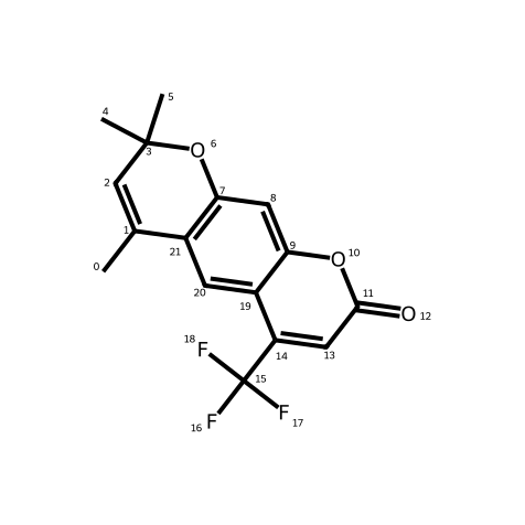 CC1=CC(C)(C)Oc2cc3oc(=O)cc(C(F)(F)F)c3cc21